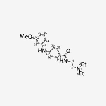 CCN(CC)CCNC(=O)c1ccc(Nc2cccc(OC)c2)cc1